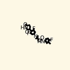 Cc1cc(NC(=O)OC2CN(c3cc(F)c(C4CCC(=O)NC4=O)c(F)c3)C2)ccc1F